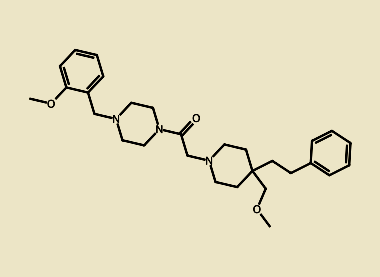 COCC1(CCc2ccccc2)CCN(CC(=O)N2CCN(Cc3ccccc3OC)CC2)CC1